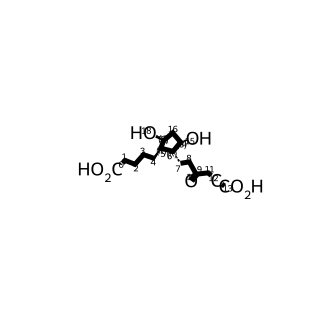 O=C(O)CCCC[C@@H]1[C@@H](CCC(=O)CCC(=O)O)[C@@H](O)C[C@@H]1O